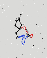 CC1CCC2(CCNC(=O)O2)C1